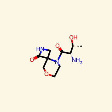 C[C@@H](O)[C@H](N)C(=O)N1CCOCC12CNC2=O